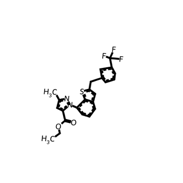 CCOC(=O)c1cc(C)nn1-c1cccc2cc(Cc3cccc(C(F)(F)F)c3)sc12